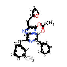 CC(=O)Oc1c(Cc2ccco2)nc2c(Cc3cccc(C)c3)nc(-c3ccccc3)cn12